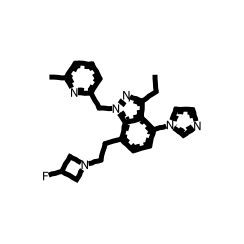 CCc1nn(Cc2cccc(C)n2)c2c(CCN3CC(F)C3)ccc(-n3ccnc3)c12